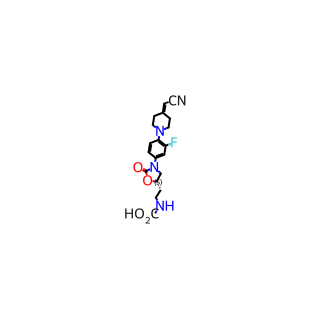 N#CC=C1CCN(c2ccc(N3C[C@H](CCNC(=O)O)OC3=O)cc2F)CC1